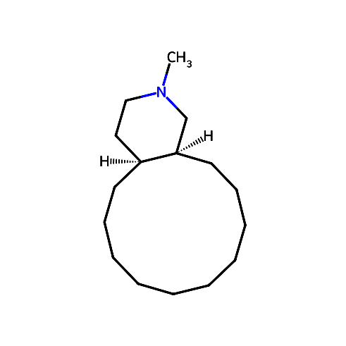 CN1CC[C@@H]2CCCCCCCCCC[C@@H]2C1